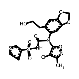 Cc1noc(N(C(=O)NS(=O)(=O)c2ccsc2)c2cc3c(cc2CCO)OCO3)c1Cl